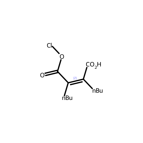 CCCC/C(C(=O)O)=C(\CCCC)C(=O)OCl